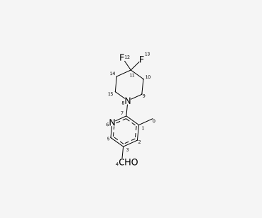 Cc1cc(C=O)cnc1N1CCC(F)(F)CC1